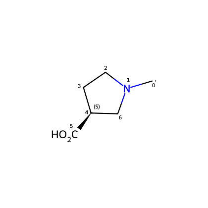 [CH2]N1CC[C@H](C(=O)O)C1